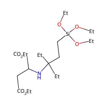 CCOC(=O)CC(NC(CC)(CC)CC[Si](OCC)(OCC)OCC)C(=O)OCC